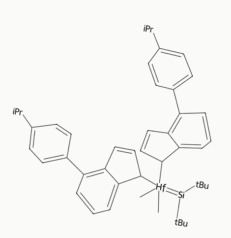 CC(C)c1ccc(-c2cccc3c2C=C[CH]3[Hf]([CH3])([CH3])([CH]2C=Cc3c(-c4ccc(C(C)C)cc4)cccc32)=[Si](C(C)(C)C)C(C)(C)C)cc1